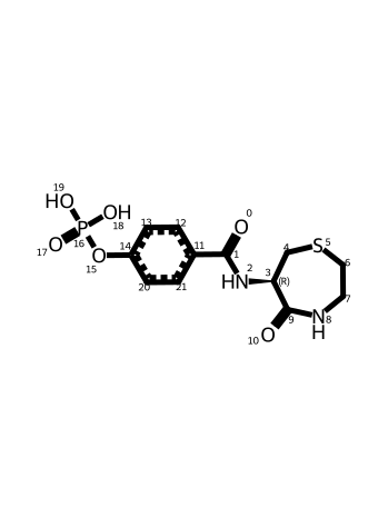 O=C(N[C@H]1CSCCNC1=O)c1ccc(OP(=O)(O)O)cc1